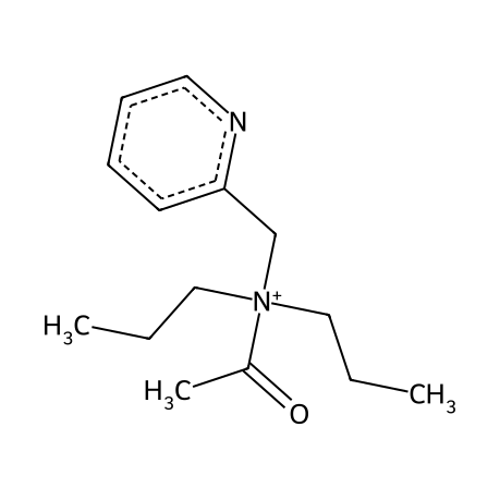 CCC[N+](CCC)(Cc1ccccn1)C(C)=O